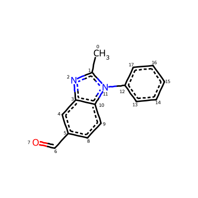 Cc1nc2cc(C=O)ccc2n1-c1ccccc1